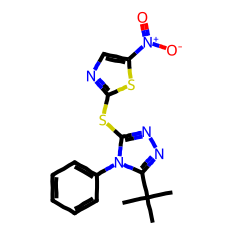 CC(C)(C)c1nnc(Sc2ncc([N+](=O)[O-])s2)n1-c1ccccc1